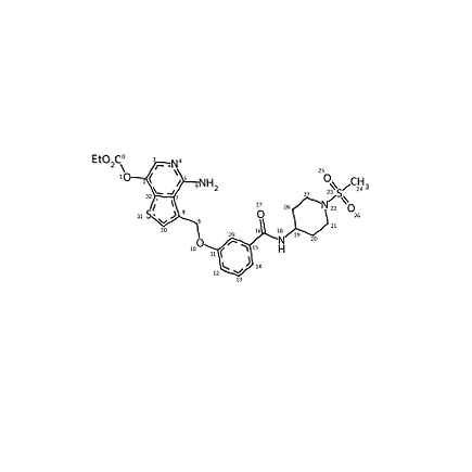 CCOC(=O)Oc1cnc(N)c2c(COc3cccc(C(=O)NC4CCN(S(C)(=O)=O)CC4)c3)csc12